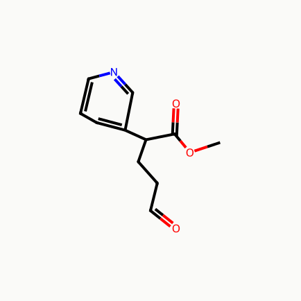 COC(=O)C(CCC=O)c1cccnc1